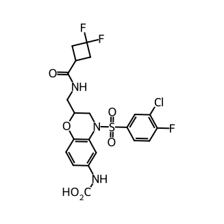 O=C(O)Nc1ccc2c(c1)N(S(=O)(=O)c1ccc(F)c(Cl)c1)CC(CNC(=O)C1CC(F)(F)C1)O2